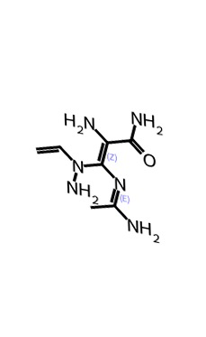 C=CN(N)C(/N=C(\C)N)=C(\N)C(N)=O